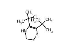 CC(C)(C)C1=C(C(C)(C)C)SCCN1